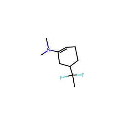 CN(C)C1=CCCC(C(C)(F)F)C1